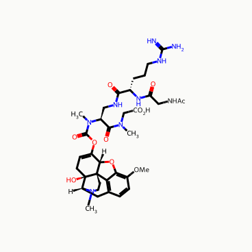 COc1ccc2c3c1O[C@H]1C(OC(=O)N(C)[C@@H](CNC(=O)[C@H](CCCNC(=N)N)NC(=O)CNC(C)=O)C(=O)N(C)CC(=O)O)=CC[C@@]4(O)[C@@H](C2)N(C)CC[C@]314